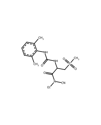 CCN(C#N)C(=O)C(CS(C)(=O)=O)NC(=O)Nc1c(C)cccc1C